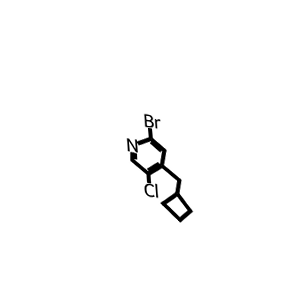 Clc1cnc(Br)cc1CC1CCC1